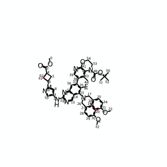 COC(=O)C12CC(n3cc(Nc4ncc5c(N(Cc6ccc(OC)cc6)Cc6ccc(OC)cc6)c(F)c(-c6cnc7c(c6C)N(C(=O)OC(C)(C)C)CCO7)cc5n4)cn3)(C1)C2